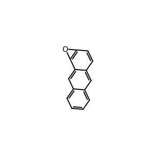 c1ccc2cc3c4c(ccc3cc2c1)O4